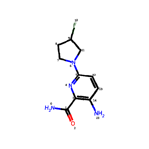 NC(=O)c1nc(N2CCC(F)C2)ccc1N